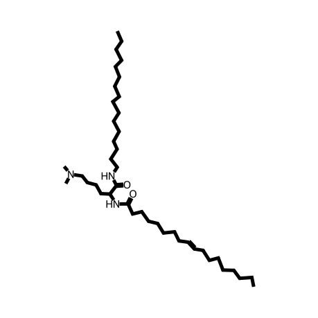 CCCCCCCC/C=C/CCCCCCCC(=O)NC(CCCCN(C)C)C(=O)NCCCCCCCCCCCCCCCC